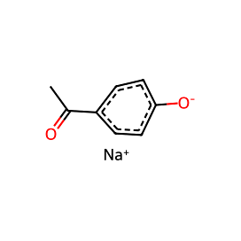 CC(=O)c1ccc([O-])cc1.[Na+]